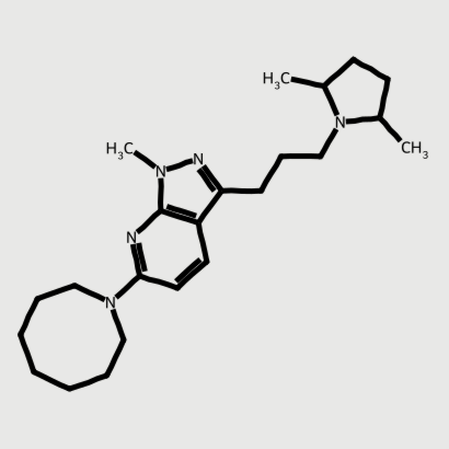 CC1CCC(C)N1CCCc1nn(C)c2nc(N3CCCCCCC3)ccc12